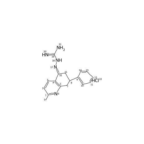 Cc1ccc2c(n1)CC(c1ccccc1)CC2=NNC(=N)N.Cl